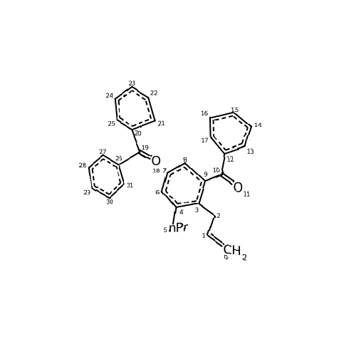 C=CCc1c(CCC)cccc1C(=O)c1ccccc1.O=C(c1ccccc1)c1ccccc1